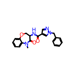 CN1C(=O)C(NC(=O)c2cnn(Cc3ccccc3)c2)COc2ccccc21